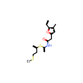 C=Cc1oc(CC(=O)NC(=C)SC(=C)CCSCC)cc1C